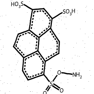 NOS(=O)(=O)c1ccc2ccc3c(S(=O)(=O)O)cc(S(=O)(=O)O)c4ccc1c2c34